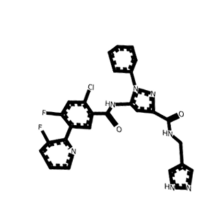 O=C(NCc1cn[nH]c1)c1cc(NC(=O)c2cc(-c3ncccc3F)c(F)cc2Cl)n(-c2ccccc2)n1